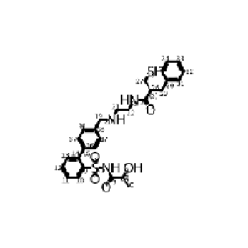 C[C@H](O)C(=O)NS(=O)(=O)c1ccccc1-c1ccc(CNCCNC(=O)[C@@H](CS)Cc2ccccc2)cc1